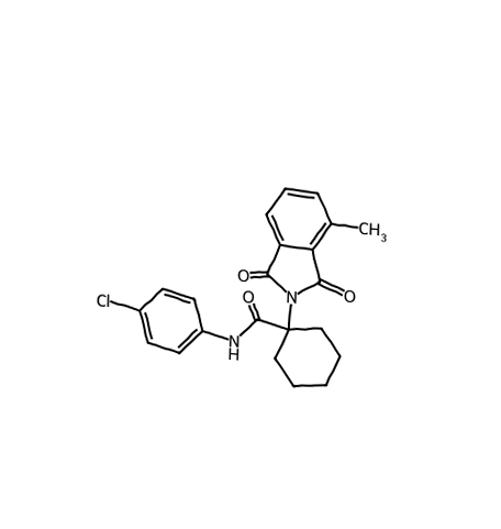 Cc1cccc2c1C(=O)N(C1(C(=O)Nc3ccc(Cl)cc3)CCCCC1)C2=O